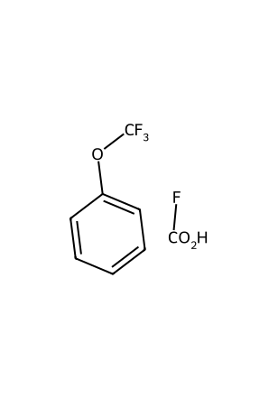 FC(F)(F)Oc1ccccc1.O=C(O)F